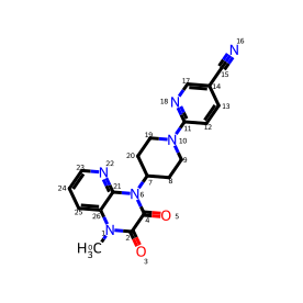 Cn1c(=O)c(=O)n(C2CCN(c3ccc(C#N)cn3)CC2)c2ncccc21